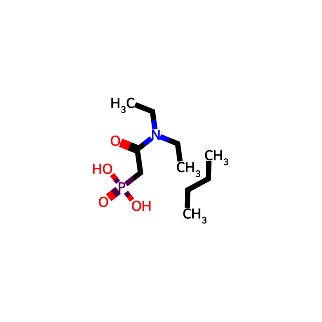 CCCC.CCN(CC)C(=O)CP(=O)(O)O